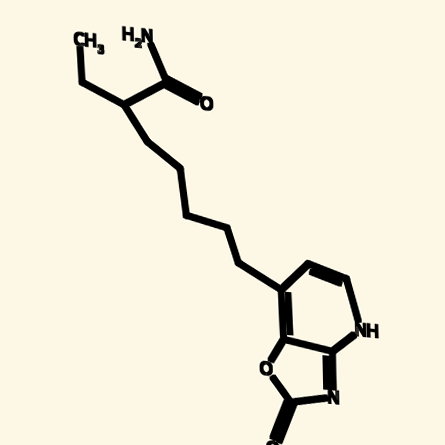 CCC(CCCCCc1cc[nH]c2nc(=O)oc1-2)C(N)=O